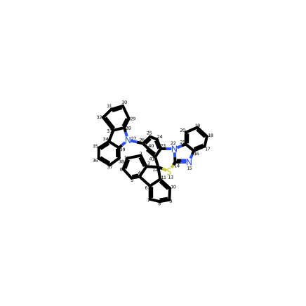 c1ccc2c(c1)-c1ccccc1C21Sc2nc3ccccc3n2-c2ccc(-n3c4ccccc4c4ccccc43)cc21